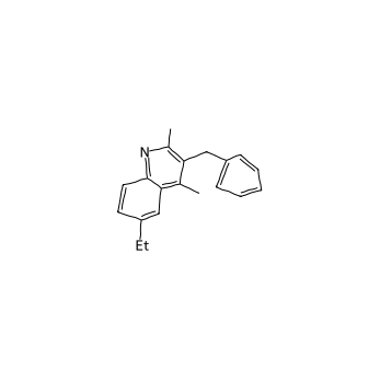 CCc1ccc2nc(C)c(Cc3ccccc3)c(C)c2c1